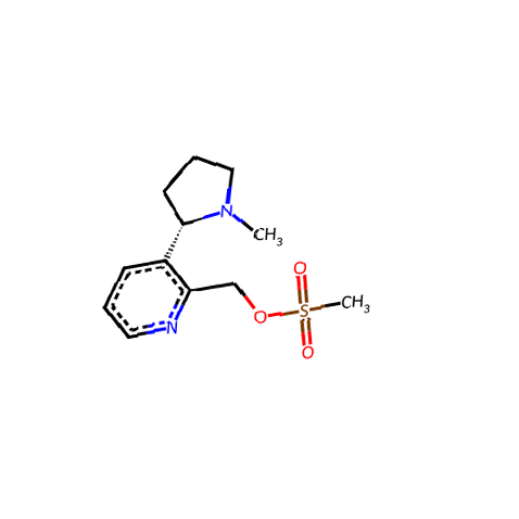 CN1CCC[C@H]1c1cccnc1COS(C)(=O)=O